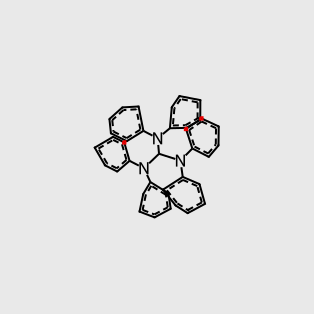 c1ccc(N(c2ccccc2)C(N(c2ccccc2)c2ccccc2)N(c2ccccc2)c2ccccc2)cc1